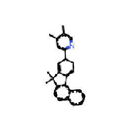 Cc1cnc(C2C=C3C(=CC2)c2c(ccc4ccccc24)C3(C)C)cc1C